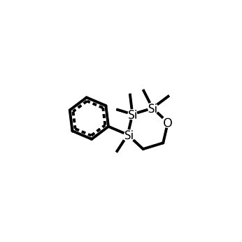 C[Si]1(C)OCC[Si](C)(c2ccccc2)[Si]1(C)C